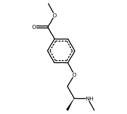 CN[C@@H](C)COc1ccc(C(=O)OC)cc1